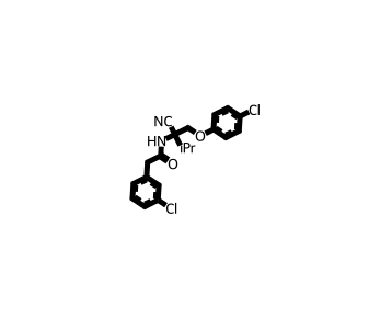 CC(C)C(C#N)(COc1ccc(Cl)cc1)NC(=O)Cc1cccc(Cl)c1